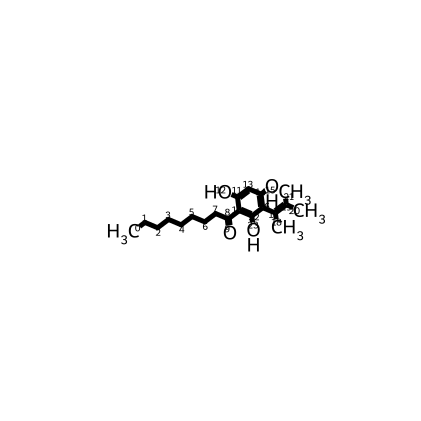 CCCCCCCCC(=O)c1c(O)cc(O)c(C(C)=C(C)C)c1O